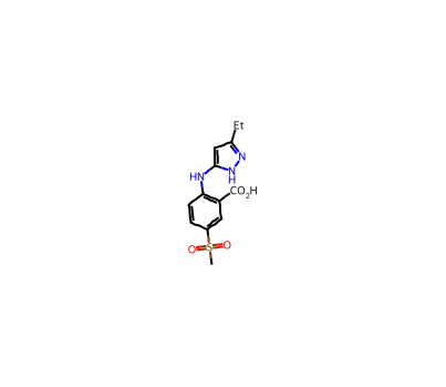 CCc1cc(Nc2ccc(S(C)(=O)=O)cc2C(=O)O)[nH]n1